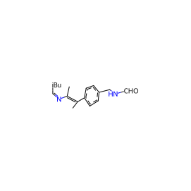 CCC(C)/C=N\C(C)=C(/C)c1ccc(CNC=O)cc1